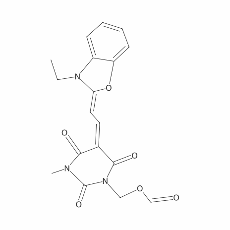 CCN1/C(=C/C=C2\C(=O)N(C)C(=O)N(COC=O)C2=O)Oc2ccccc21